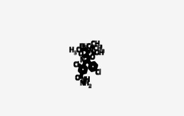 CC1(C)C[C@@H](N(C(=O)O)C(C)(C)C)c2cc(-c3ccc(Cl)cc3)c(-c3ccc(C(=O)NN)cc3Cl)nc2O1